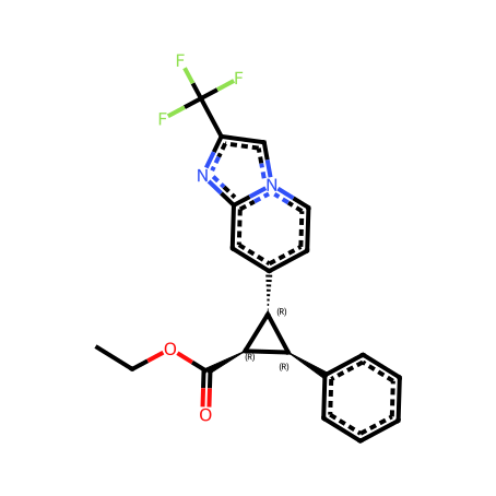 CCOC(=O)[C@@H]1[C@H](c2ccccc2)[C@H]1c1ccn2cc(C(F)(F)F)nc2c1